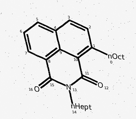 CCCCCCCCc1ccc2cccc3c2c1C(=O)N(CCCCCCC)C3=O